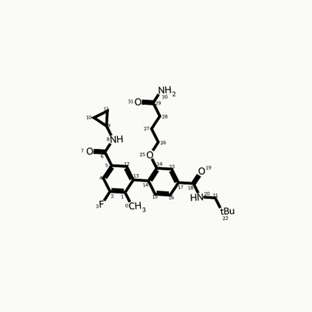 Cc1c(F)cc(C(=O)NC2CC2)cc1-c1ccc(C(=O)NCC(C)(C)C)cc1OCCCC(N)=O